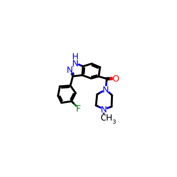 CN1CCN(C(=O)c2ccc3[nH]nc(-c4cccc(F)c4)c3c2)CC1